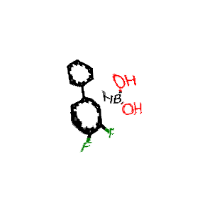 Fc1ccc(-c2ccccc2)cc1F.OBO